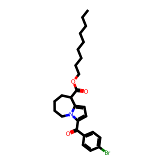 CCCCCCCCCOC(=O)C1CCCCn2c(C(=O)c3ccc(Br)cc3)ccc21